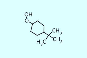 CC(C)(C)C1CCC(OO)CC1